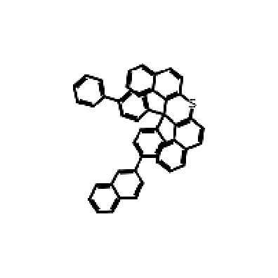 c1ccc(-c2ccc(C3(c4ccc(-c5ccc6ccccc6c5)cc4)c4c(ccc5ccccc45)Sc4ccc5ccccc5c43)cc2)cc1